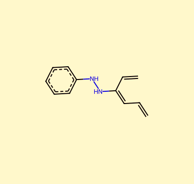 C=C/C=C(\C=C)NNc1ccccc1